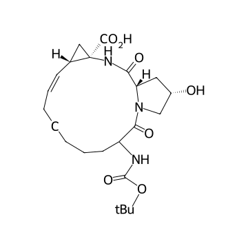 CC(C)(C)OC(=O)NC1CCCCC/C=C\[C@@H]2C[C@@]2(C(=O)O)NC(=O)[C@@H]2C[C@H](O)CN2C1=O